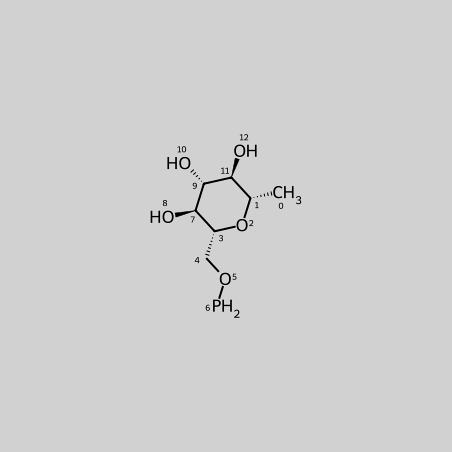 C[C@@H]1O[C@H](COP)[C@@H](O)[C@H](O)[C@H]1O